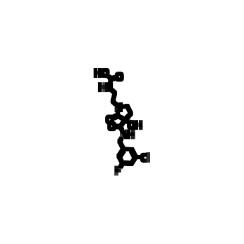 O=C(O)NCCN1CC[C@](O)(C(=O)NCc2cc(F)cc(Cl)c2)C1=O